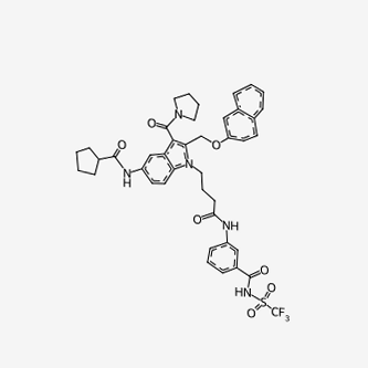 O=C(CCCn1c(COc2ccc3ccccc3c2)c(C(=O)N2CCCC2)c2cc(NC(=O)C3CCCC3)ccc21)Nc1cccc(C(=O)NS(=O)(=O)C(F)(F)F)c1